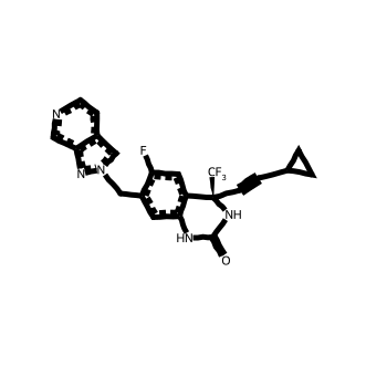 O=C1Nc2cc(Cn3cc4ccncc4n3)c(F)cc2[C@@](C#CC2CC2)(C(F)(F)F)N1